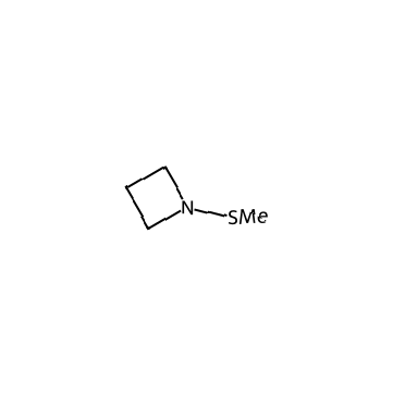 CSN1CCC1